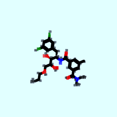 CCCN(CCC)C(=O)c1cc(C)cc(C(=O)N[C@@H](Cc2cc(F)cc(F)c2)[C@@H](O)C(O)COCCC(C)C)c1